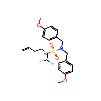 C=CCC[C@@H](C(F)F)S(=O)(=O)N(Cc1ccc(OC)cc1)Cc1ccc(OC)cc1